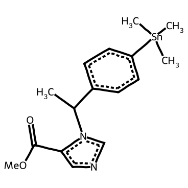 COC(=O)c1cncn1C(C)c1cc[c]([Sn]([CH3])([CH3])[CH3])cc1